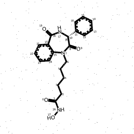 O=C(CCCCCN1C(=O)[C@@H](c2ccccc2)NC(=O)c2ccccc21)NO